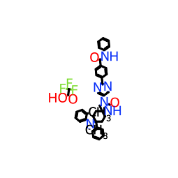 Cc1ccccc1N(C)C1(c2ccccc2)CCC2(CC1)CN(c1cnc(-c3ccc(C(=O)Nc4ccccc4)cc3)nc1)C(=O)N2.O=C(O)C(F)(F)F